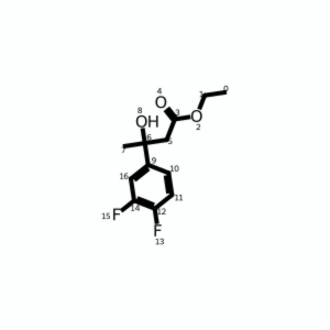 CCOC(=O)CC(C)(O)c1ccc(F)c(F)c1